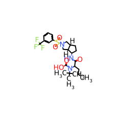 CCCC(C(=O)N[C@@H]1CC[C@H]2CN(S(=O)(=O)c3cccc(C(F)(F)F)c3)C[C@H]21)N(C(=O)O)C(C)(C)C